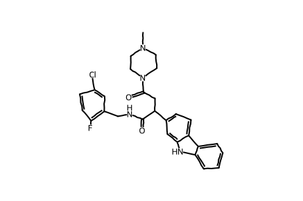 CN1CCN(C(=O)CC(C(=O)NCc2cc(Cl)ccc2F)c2ccc3c(c2)[nH]c2ccccc23)CC1